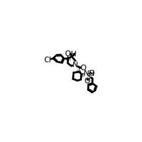 CC1(C)CN(C(=O)[C@H]2CCCC[C@H]2NS(=O)(=O)Cc2ccccc2)CC[C@]1(O)c1ccc(Cl)cc1